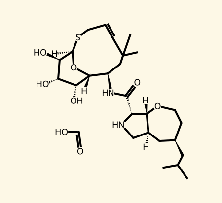 CC(C)C[C@@H]1CCO[C@@H]2[C@H](CN[C@@H]2C(=O)N[C@@H]2CC(C)(C)/C=C/CS[C@H]3O[C@H]2[C@H](O)[C@H](O)[C@H]3O)C1.O=CO